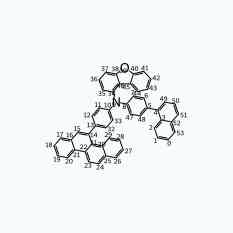 c1ccc2c(-c3ccc(N(c4ccc(-c5cc6ccccc6c6ccc7ccccc7c56)cc4)c4cccc5oc6ccccc6c45)cc3)cccc2c1